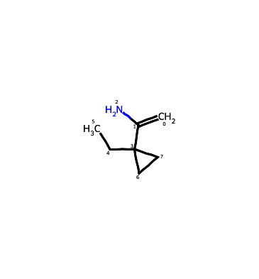 C=C(N)C1(CC)CC1